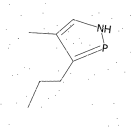 CCCc1p[nH]cc1C